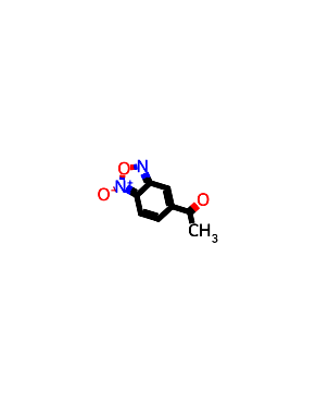 CC(=O)c1ccc2c(c1)no[n+]2[O-]